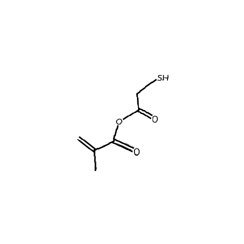 C=C(C)C(=O)OC(=O)CS